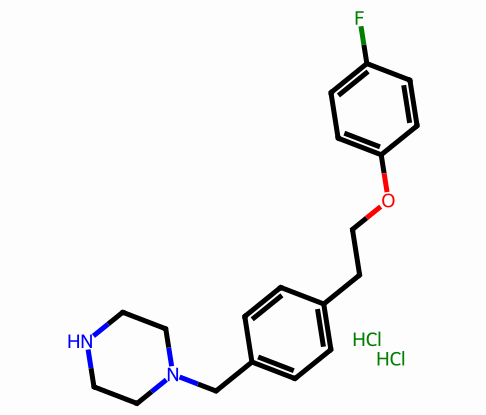 Cl.Cl.Fc1ccc(OCCc2ccc(CN3CCNCC3)cc2)cc1